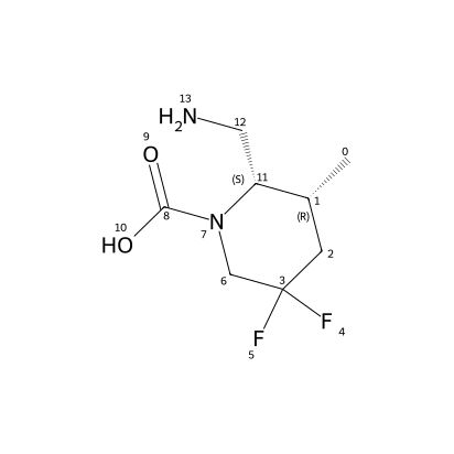 C[C@@H]1CC(F)(F)CN(C(=O)O)[C@@H]1CN